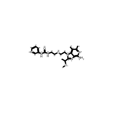 COC(C)c1nc2c(N)nc(C)c(C)c2n1CCOCCNC(=O)Nc1cccnc1